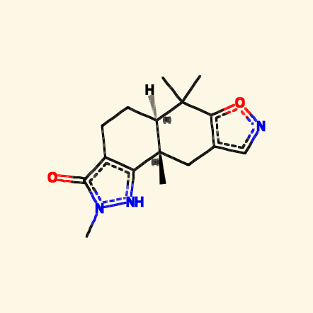 Cn1[nH]c2c(c1=O)CC[C@H]1C(C)(C)c3oncc3C[C@]21C